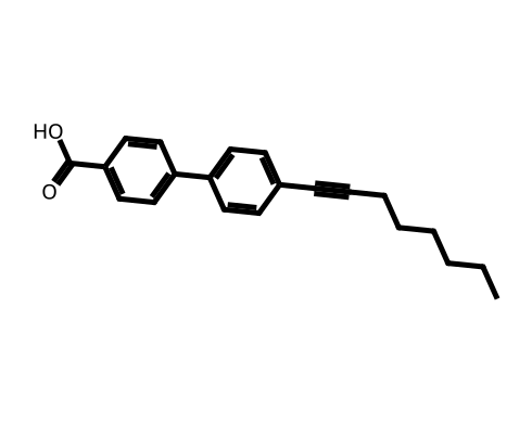 CCCCCCC#Cc1ccc(-c2ccc(C(=O)O)cc2)cc1